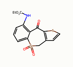 CCOC(=O)Nc1cccc2c1C(=O)c1sccc1CS2(=O)=O